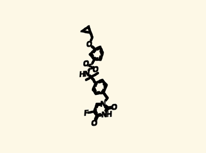 CC(C)(NS(=O)(=O)c1cccc(OCC2CC2)c1)c1ccc(Cn2cc(F)c(=O)[nH]c2=O)cc1